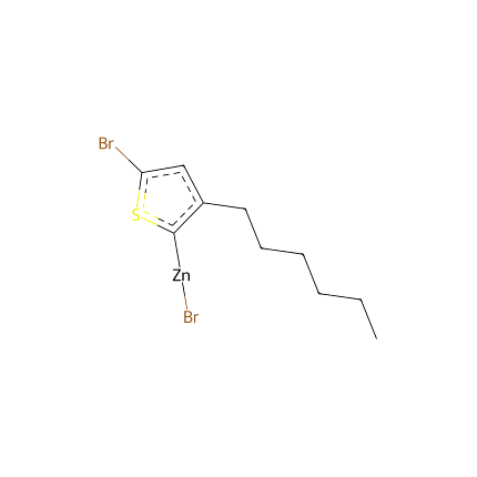 CCCCCCc1cc(Br)s[c]1[Zn][Br]